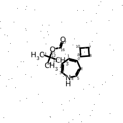 C1=CC=CNC=C1.C1CCC1.CC(C)(C)OC=O